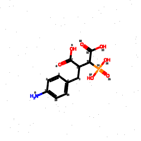 Nc1ccc(CC(C(=O)O)C(C(=O)O)P(=O)(O)O)cc1